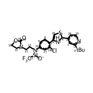 CC(C)(C)c1cc(C2NC(c3ccc(N(CCN4CCOC4=O)[S+]([O-])C(F)(F)F)cc3Cl)=CS2)ccn1